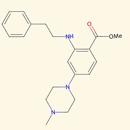 COC(=O)c1ccc(N2CCN(C)CC2)cc1NCCc1ccccc1